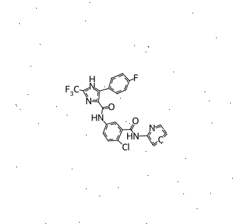 O=C(Nc1ccccn1)c1cc(NC(=O)c2nc(C(F)(F)F)[nH]c2-c2ccc(F)cc2)ccc1Cl